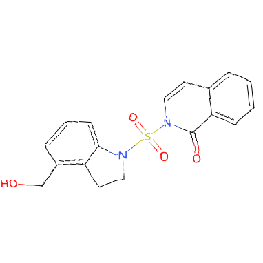 O=c1c2ccccc2ccn1S(=O)(=O)N1CCc2c(CO)cccc21